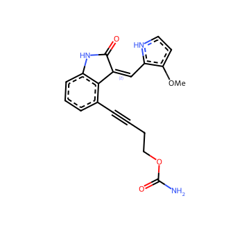 COc1cc[nH]c1/C=C1\C(=O)Nc2cccc(C#CCCOC(N)=O)c21